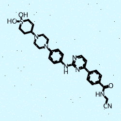 N#CCNC(=O)c1ccc(-c2ccnc(Nc3ccc(N4CCN(C5CCS(O)(O)CC5)CC4)cc3)n2)cc1